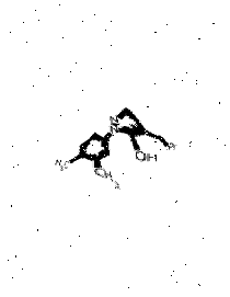 Cc1ccc(-n2ncc(CC(C)C)c2O)cc1C